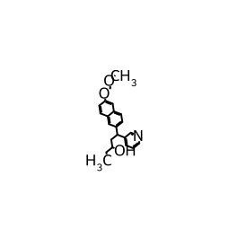 CCC(O)CC(c1cccnc1)c1ccc2cc(OCOC)ccc2c1